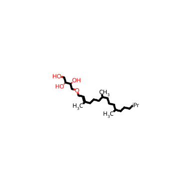 CC(=CCOC[C@H](O)[C@H](O)CO)CCCC(C)CCCC(C)CCCC(C)C